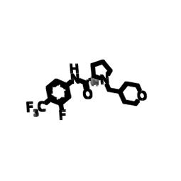 O=C(Nc1ccc(C(F)(F)F)c(F)c1)[C@@H]1CCCN1CC1CCOCC1